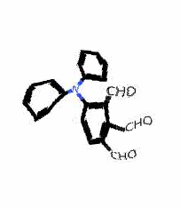 O=Cc1ccc(N(c2ccccc2)c2ccccc2)c(C=O)c1C=O